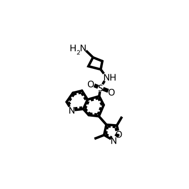 Cc1noc(C)c1-c1cc(S(=O)(=O)NC2CC(N)C2)c2cccnc2c1